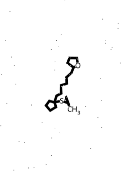 CC1C[S+]1C1(CCCCCCC2CCCO2)CCCC1